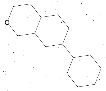 C1CCC(C2CCC3CCOCC3C2)CC1